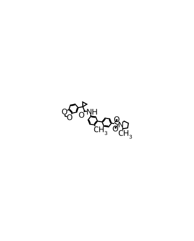 Cc1ccc(NC(=O)C2(c3ccc4c(c3)OCO4)CC2)cc1-c1ccc(S(=O)(=O)N2CCCC2C)cc1